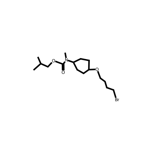 CC(C)COC(=O)N(C)C1CCC(OCCCCBr)CC1